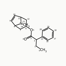 CCC(C(=O)OC1CC2C=CC(C1)N2C)c1ccccc1